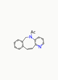 CC(=O)N1Cc2ccccc2C=Cc2ncccc21